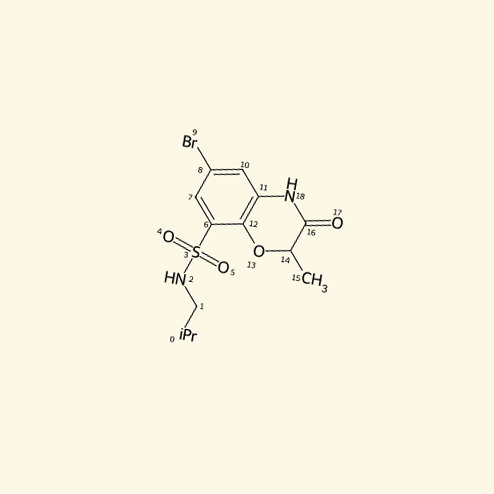 CC(C)CNS(=O)(=O)c1cc(Br)cc2c1OC(C)C(=O)N2